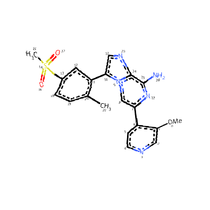 COc1cnccc1-c1cn2c(-c3cc(S(C)(=O)=O)ccc3C)cnc2c(N)n1